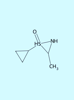 CC1N[SH]1(=O)C1CC1